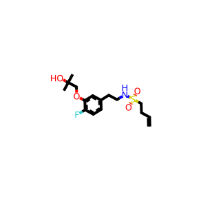 C=CCCS(=O)(=O)NCCc1ccc(F)c(OCC(C)(C)O)c1